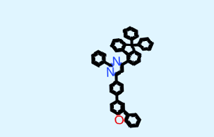 c1ccc(-c2nc(-c3ccc(-c4ccc5oc6ccccc6c5c4)cc3)cc(-c3cccc4c3-c3ccccc3C4(c3ccccc3)c3ccccc3)n2)cc1